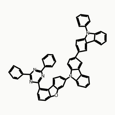 c1ccc(-c2nc(-c3ccccc3)nc(-c3cccc4oc5cc(-n6c7ccccc7c7cc(-c8ccc9c(c8)c8ccccc8n9-c8ccccc8)ccc76)ccc5c34)n2)cc1